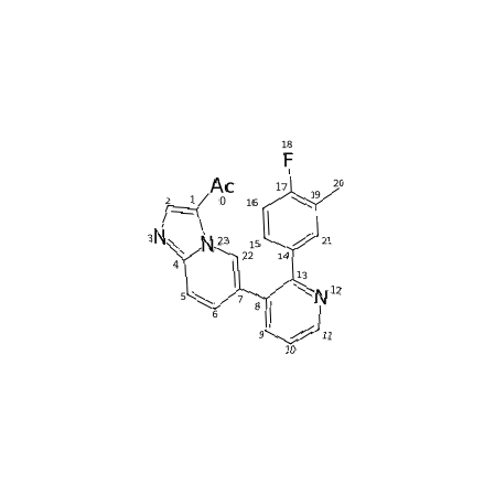 CC(=O)c1cnc2ccc(-c3cccnc3-c3ccc(F)c(C)c3)cn12